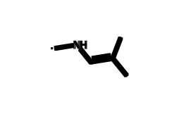 [CH2]NC=C(C)C